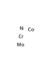 [Co].[Cr].[Mo].[N]